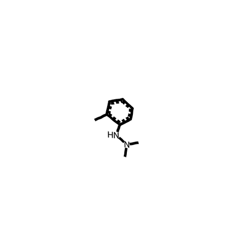 Cc1ccccc1NN(C)C